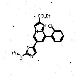 CCOC(=O)c1cn2cc(-c3cnc(NC(C)C)s3)cc(-c3ccccc3Cl)c2n1